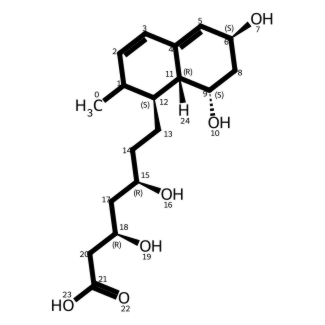 CC1C=CC2=C[C@@H](O)C[C@H](O)[C@@H]2[C@H]1CC[C@@H](O)C[C@@H](O)CC(=O)O